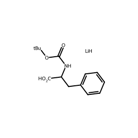 CC(C)(C)OC(=O)NC(Cc1ccccc1)C(=O)O.[LiH]